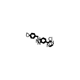 COc1ccc(Cn2nnc3cc(-c4nccnc4Cl)ccc32)cc1